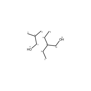 CC(C)CO.CCC(CC)CO